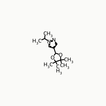 CC(C)n1cc(C2OC(C)(C)C(C)(C)O2)cn1